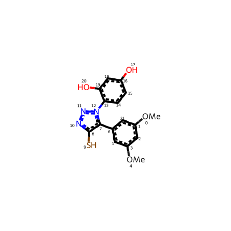 COc1cc(OC)cc(-c2c(S)nnn2-c2ccc(O)cc2O)c1